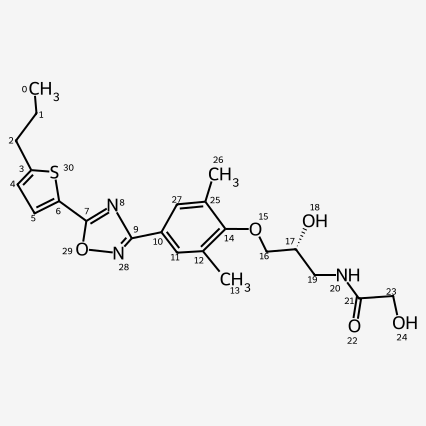 CCCc1ccc(-c2nc(-c3cc(C)c(OC[C@H](O)CNC(=O)CO)c(C)c3)no2)s1